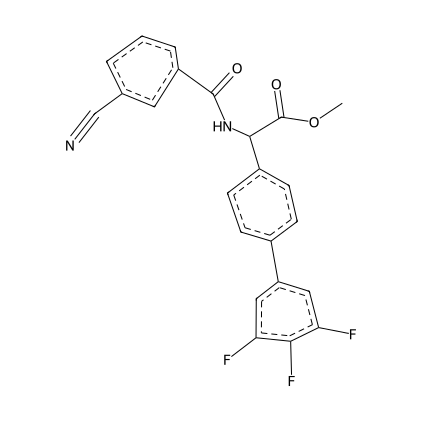 COC(=O)C(NC(=O)c1cccc(C#N)c1)c1ccc(-c2cc(F)c(F)c(F)c2)cc1